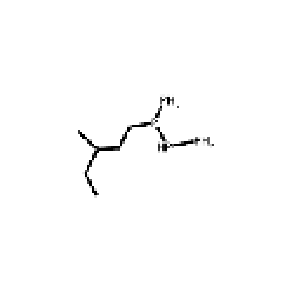 CCC(C)CCP(P)PP